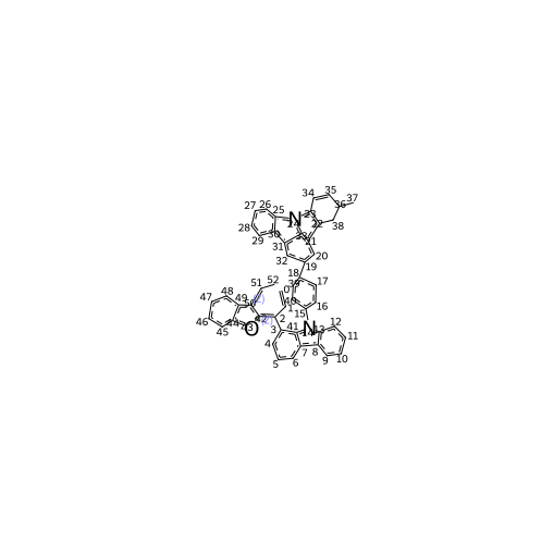 C=C/C(c1cccc2c3ccccc3n(-c3ccc(-c4cc5c6c(n7c8ccccc8c(c4)c57)C=CC(C)C6)cc3)c12)=c1/oc2ccccc2/c1=C/C